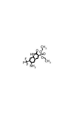 CCOP(=O)(OCC)c1cc2cc(N)c(C(F)(F)F)cc2[nH]c1=O